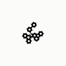 c1ccc(-c2cccc(-n3c4cc5c6c(cccc6c4c4c6ccccc6c6ccccc6c43)-c3ccccc3-5)c2)cc1